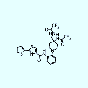 O=C(Nc1ccccc1N1CCC(CNC(=O)C(F)(F)F)(NC(=O)C(F)(F)F)CC1)c1csc(-c2cccs2)n1